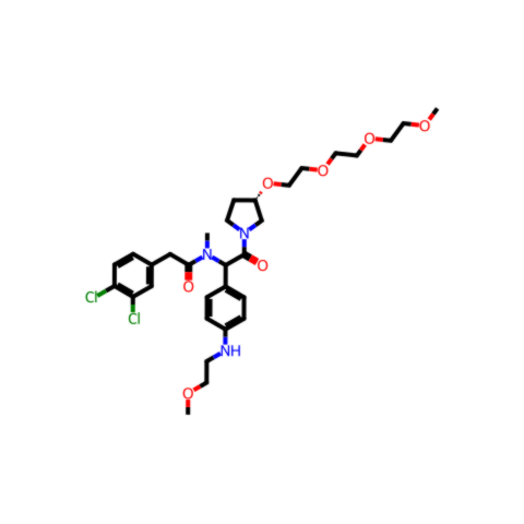 COCCNc1ccc(C(C(=O)N2CC[C@H](OCCOCCOCCOC)C2)N(C)C(=O)Cc2ccc(Cl)c(Cl)c2)cc1